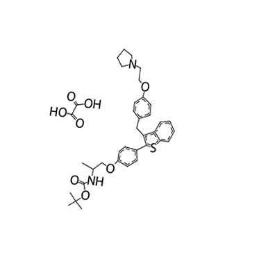 CC(COc1ccc(-c2sc3ccccc3c2Cc2ccc(OCCN3CCCC3)cc2)cc1)NC(=O)OC(C)(C)C.O=C(O)C(=O)O